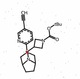 C#Cc1ccc(N2CC3CCC(C2)N3CC2CN(C(=O)OC(C)(C)C)C2)nc1